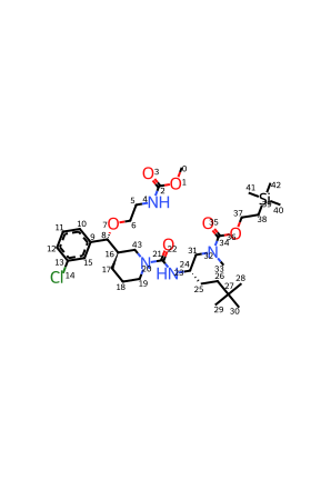 COC(=O)NCCO[C@@H](c1cccc(Cl)c1)[C@@H]1CCCN(C(=O)N[C@@H](CCC(C)(C)C)CN(C)C(=O)OCC[Si](C)(C)C)C1